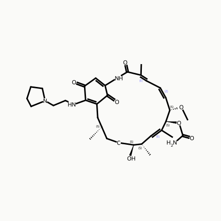 CO[C@H]1/C=C\C=C(/C)C(=O)NC2=CC(=O)C(NCCN3CCCC3)=C(C[C@@H](C)CC[C@H](O)[C@@H](C)/C=C(\C)[C@@H]1OC(N)=O)C2=O